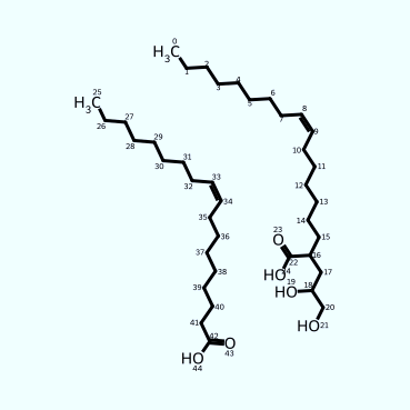 CCCCCCCC/C=C\CCCCCCC(CC(O)CO)C(=O)O.CCCCCCCC/C=C\CCCCCCCC(=O)O